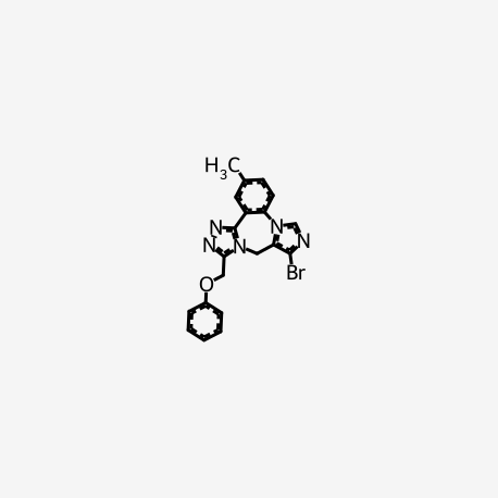 Cc1ccc2c(c1)-c1nnc(COc3ccccc3)n1Cc1c(Br)ncn1-2